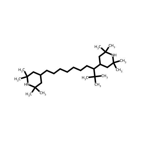 CC1(C)CC(CCCCCCCC(C2CC(C)(C)NC(C)(C)C2)C(C)(C)C)CC(C)(C)N1